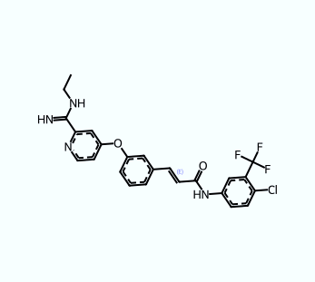 CCNC(=N)c1cc(Oc2cccc(/C=C/C(=O)Nc3ccc(Cl)c(C(F)(F)F)c3)c2)ccn1